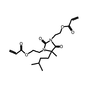 C=CC(=O)OCCN1C(=O)N(CCOC(=O)C=C)C(C)(CCC(C)C)C1=O